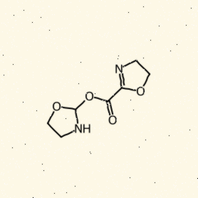 O=C(OC1NCCO1)C1=NCCO1